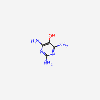 Nc1nc(N)c(O)c(N)n1